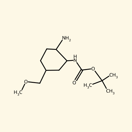 COCC1CCC(N)C(NC(=O)OC(C)(C)C)C1